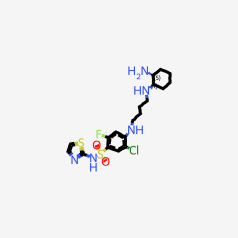 N[C@H]1CCCC[C@H]1NCCCCNc1cc(F)c(S(=O)(=O)Nc2nccs2)cc1Cl